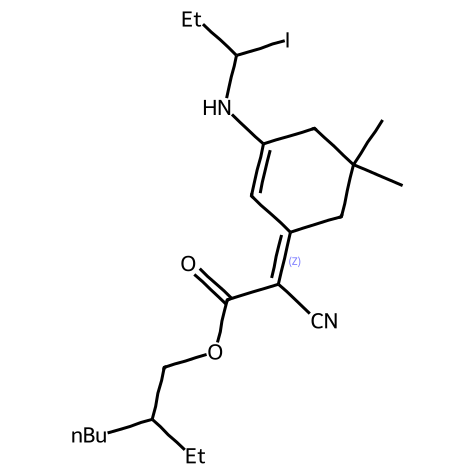 CCCCC(CC)COC(=O)/C(C#N)=C1\C=C(NC(I)CC)CC(C)(C)C1